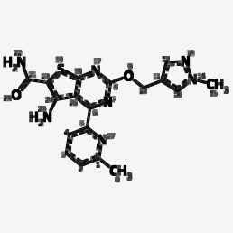 Cc1cccc(-c2nc(OCc3cnn(C)c3)nc3sc(C(N)=O)c(N)c23)n1